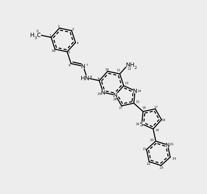 Cc1cccc(/C=N/Nc2cc(N)c3nc(-c4ccc(-c5ccccn5)s4)cn3n2)c1